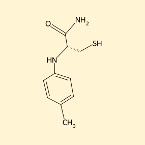 Cc1ccc(N[C@@H](CS)C(N)=O)cc1